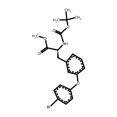 COC(=O)[C@H](Cc1cccc(Oc2ccc(Br)cc2)c1)NC(=O)OC(C)(C)C